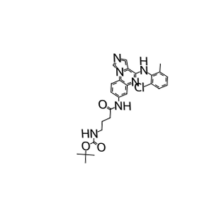 Cc1cccc(Cl)c1Nc1nc2cc(NC(=O)CCCNC(=O)OC(C)(C)C)ccc2n2cncc12